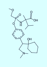 COCP(=O)(NC(C)(C(=O)O)C(C)C)Oc1ccc(C(CN(C)C)C2(O)CCCCC2)cc1